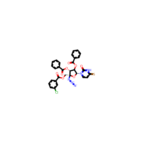 [N-]=[N+]=N[C@]1(COC(=O)c2cccc(Cl)c2)O[C@@H](n2ccc(=S)[nH]c2=O)C(OC(=O)c2ccccc2)[C@H]1OC(=O)c1ccccc1